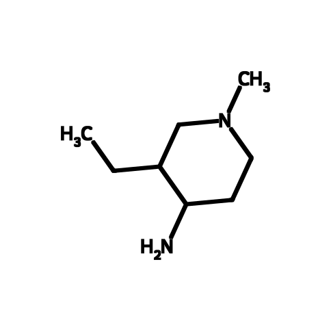 CCC1CN(C)CCC1N